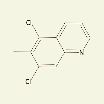 Cc1c(Cl)cc2ncccc2c1Cl